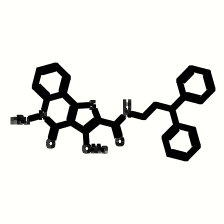 CCCCn1c(=O)c2c(OC)c(C(=O)NCCC(c3ccccc3)c3ccccc3)sc2c2ccccc21